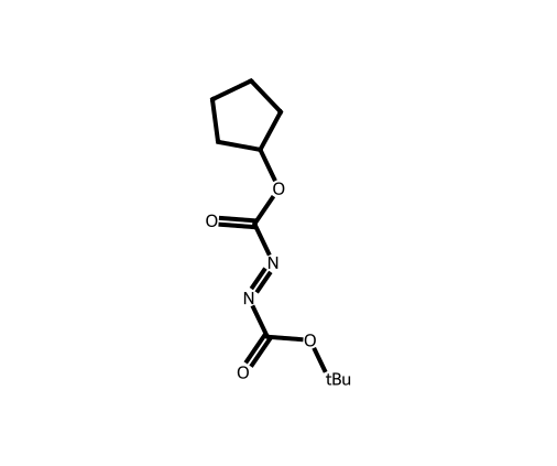 CC(C)(C)OC(=O)N=NC(=O)OC1CCCC1